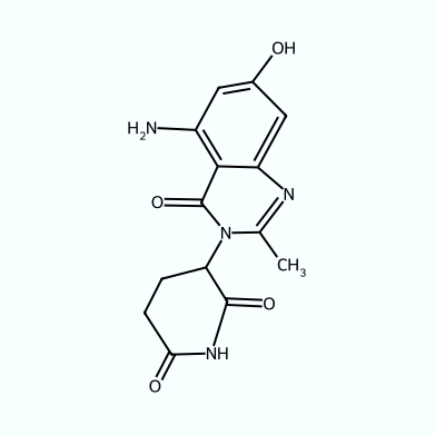 Cc1nc2cc(O)cc(N)c2c(=O)n1C1CCC(=O)NC1=O